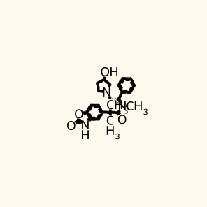 CN(C(=O)C(C)(C)c1ccc2oc(=O)[nH]c2c1)[C@H](CN1CCC(O)C1)c1ccccc1